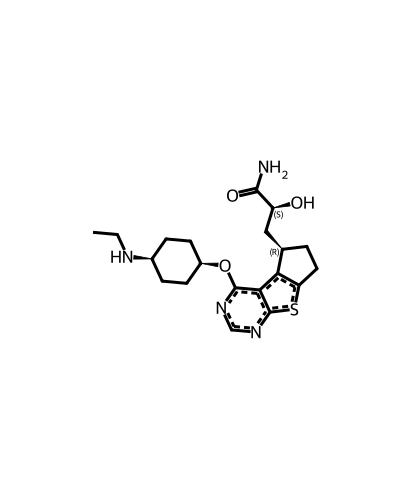 CCN[C@H]1CC[C@@H](Oc2ncnc3sc4c(c23)[C@@H](C[C@H](O)C(N)=O)CC4)CC1